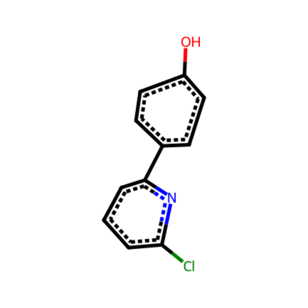 Oc1ccc(-c2cccc(Cl)n2)cc1